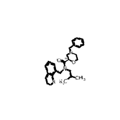 CC(C)CN(Cc1cccc2cccnc12)C(=O)[C@H]1CN(Cc2ccccc2)CCO1